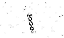 Oc1ccc(N2CCN(c3ccc(C(F)(F)F)cn3)CC2)cc1